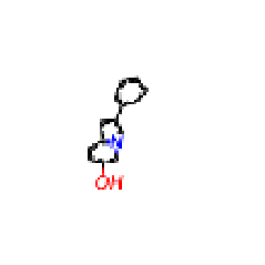 Oc1ccc2cc(-c3ccccc3)cn2c1